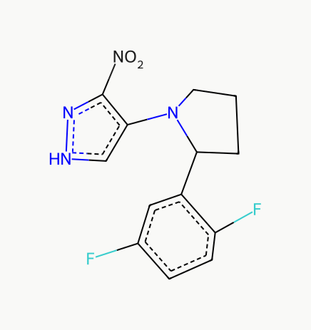 O=[N+]([O-])c1n[nH]cc1N1CCCC1c1cc(F)ccc1F